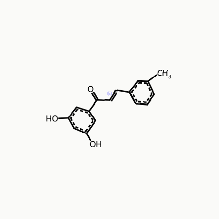 Cc1cccc(/C=C/C(=O)c2cc(O)cc(O)c2)c1